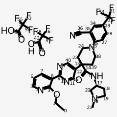 CCOc1ncccc1-c1ncc(C2(C(=O)N[C@H]3CCN(C)C3)CCN(c3ccc(C(F)(F)F)cc3C#N)CC2)cn1.O=C(O)C(F)(F)F.O=C(O)C(F)(F)F